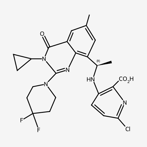 Cc1cc([C@@H](C)Nc2ccc(Cl)nc2C(=O)O)c2nc(N3CCC(F)(F)CC3)n(C3CC3)c(=O)c2c1